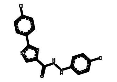 O=C(NNc1ccc(Cl)cc1)c1csc(-c2ccc(Cl)cc2)n1